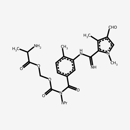 CCCN(C(=O)OCOC(=O)C(C)N)C(=O)c1ccc(C)c(NC(=N)c2c(C)c(C=O)cn2C)c1